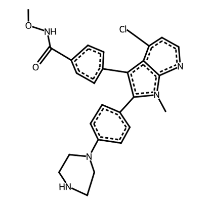 CONC(=O)c1ccc(-c2c(-c3ccc(N4CCNCC4)cc3)n(C)c3nccc(Cl)c23)cc1